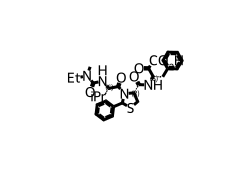 CCN(C)C(=O)N[C@H](C(=O)N1C(c2ccccc2)SC[C@H]1C(=O)N[C@@H](Cc1ccccc1)C(=O)C(=O)O)C(C)C